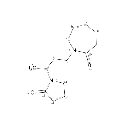 CC(CCN1CCCCCC1=O)N1CCCC1=O